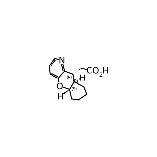 O=C(O)C[C@H]1c2ncccc2O[C@H]2CCCC[C@@H]21